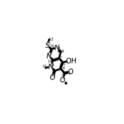 COC(=O)c1c(O)c2cnc(SC)nc2n(C)c1=O